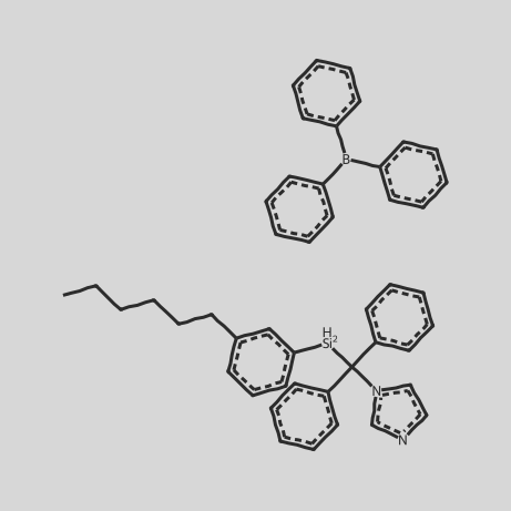 CCCCCCc1cccc([SiH2]C(c2ccccc2)(c2ccccc2)n2ccnc2)c1.c1ccc(B(c2ccccc2)c2ccccc2)cc1